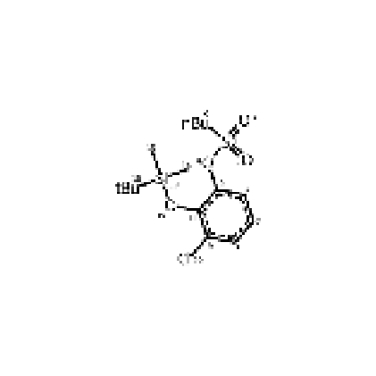 CCCCS(=O)(=O)Oc1cccc(Cl)c1O[Si](C)(C)C(C)(C)C